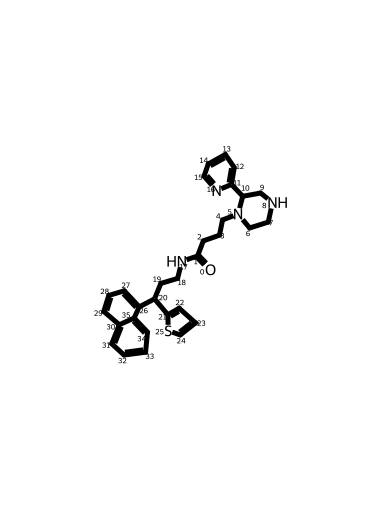 O=C(CCCN1CCNCC1c1ccccn1)NCCC(c1cccs1)c1cccc2ccccc12